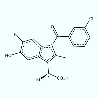 CC[C@H](C(=O)O)c1c(C)n(C(=O)c2cccc(Cl)c2)c2cc(F)c(O)cc12